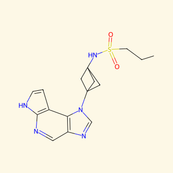 CCCS(=O)(=O)NC12CC(n3cnc4cnc5[nH]ccc5c43)(C1)C2